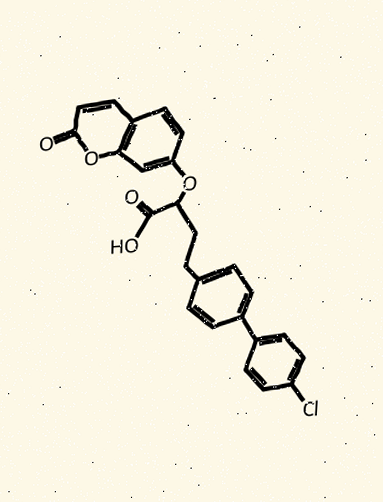 O=C(O)C(CCc1ccc(-c2ccc(Cl)cc2)cc1)Oc1ccc2ccc(=O)oc2c1